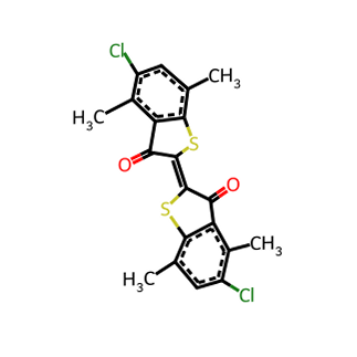 Cc1cc(Cl)c(C)c2c1S/C(=C1/Sc3c(C)cc(Cl)c(C)c3C1=O)C2=O